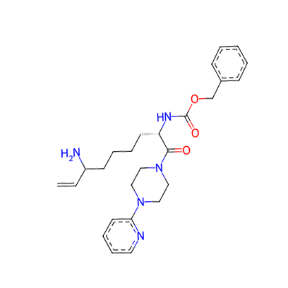 C=CC(N)CCCC[C@H](NC(=O)OCc1ccccc1)C(=O)N1CCN(c2ccccn2)CC1